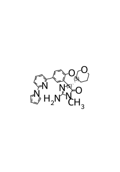 CN1C(=O)[C@@]2(C[C@]3(CCCOC3)Oc3ccc(-c4cccc(-n5cccc5)n4)cc32)N=C1N